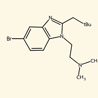 CN(C)CCn1c(CC(C)(C)C)nc2cc(Br)ccc21